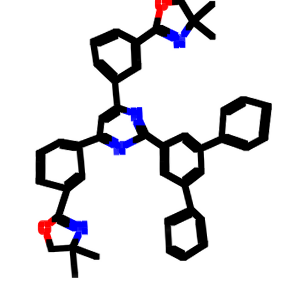 CC1(C)COC(c2cccc(-c3cc(-c4cccc(C5=NC(C)(C)CO5)c4)nc(-c4cc(-c5ccccc5)cc(-c5ccccc5)c4)n3)c2)=N1